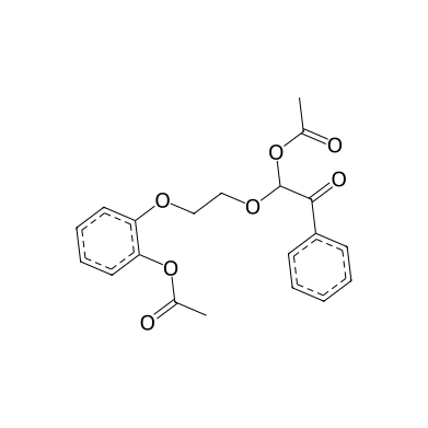 CC(=O)Oc1ccccc1OCCOC(OC(C)=O)C(=O)c1ccccc1